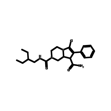 CCC(CC)CNC(=O)N1CCN2C(Cl)=C(c3ccccc3)C(C(N)=O)C2C1